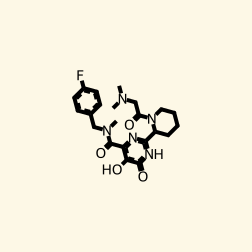 CN(C)CC(=O)N1CCCCC1c1nc(C(=O)N(C)Cc2ccc(F)cc2)c(O)c(=O)[nH]1